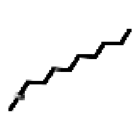 CCCCCCCC[CH2][Cu][CH3]